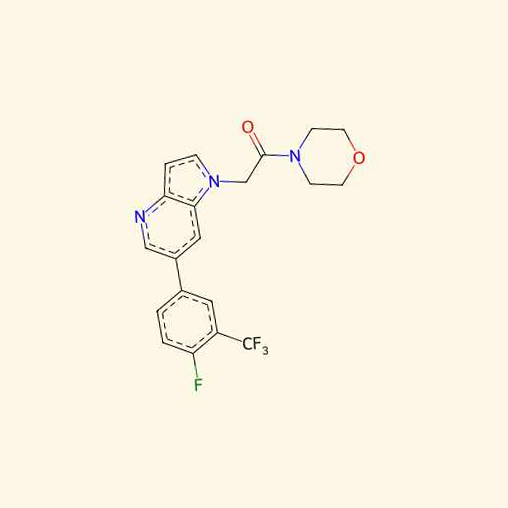 O=C(Cn1ccc2ncc(-c3ccc(F)c(C(F)(F)F)c3)cc21)N1CCOCC1